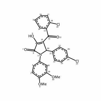 COc1ccc(N2C(=O)C(O)=C(C(=O)c3ccccc3Cl)C2c2ccc(Cl)cc2)cc1OC